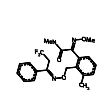 CNC(=O)/C(=N/OC)c1cccc(C)c1CO/N=C(\CC(F)(F)F)c1ccccc1